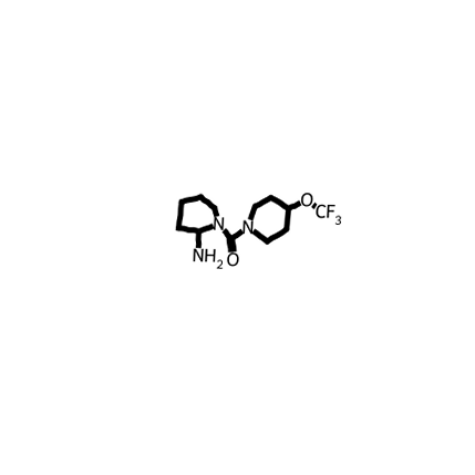 NC1CCCCN1C(=O)N1CCC(OC(F)(F)F)CC1